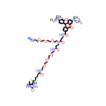 CN(C)c1ccc2c(-c3ccc(C(=O)NCCC(=O)N(CCOCCOCCOCCN=[N+]=[N-])CCC(=O)NCCOCCOCCOCCNC(=O)CCCC[C@@H]4SC[C@@H]5NC(=O)N[C@@H]54)cc3C(=O)[O-])c3ccc(=[N+](C)C)cc-3oc2c1